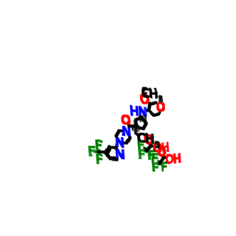 CC[C@]1(C(=O)N2CCN(c3cc(C(F)(F)F)ccn3)CC2)CC[C@H](NC2CCOCC2OC)C1.O=C(O)C(F)(F)F.O=C(O)C(F)(F)F